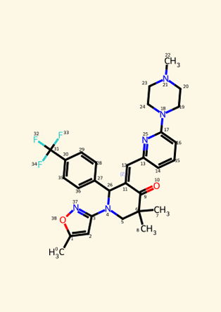 Cc1cc(N2CC(C)(C)C(=O)/C(=C\c3cccc(N4CCN(C)CC4)n3)C2c2ccc(C(F)(F)F)cc2)no1